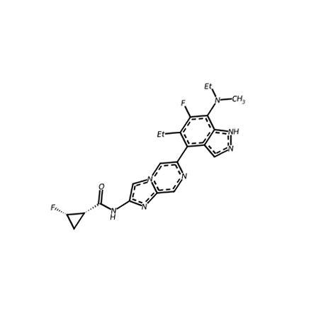 CCc1c(F)c(N(C)CC)c2[nH]ncc2c1-c1cn2cc(NC(=O)[C@@H]3C[C@@H]3F)nc2cn1